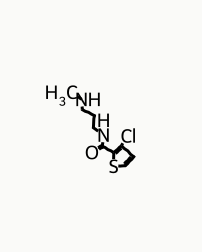 CNCCCNC(=O)c1sccc1Cl